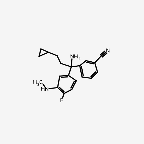 CNc1cc(C(N)(CCC2CC2)c2cccc(C#N)c2)ccc1F